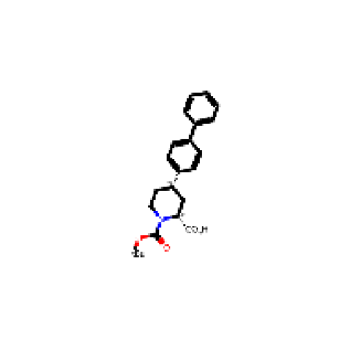 CC(C)(C)OC(=O)N1CC[C@H](c2ccc(-c3ccccc3)cc2)C[C@@H]1C(=O)O